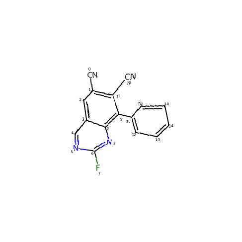 N#Cc1cc2cnc(F)nc2c(-c2ccccc2)c1C#N